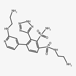 NCCNc1cc(-c2ccc(S(=O)(=O)NCCN)c(S(N)(=O)=O)c2-c2nn[nH]n2)ccn1